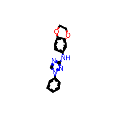 c1ccc(-n2cnc(Nc3ccc4c(c3)OCCO4)n2)cc1